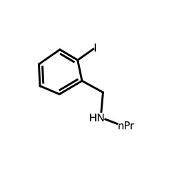 CCCNCc1ccccc1I